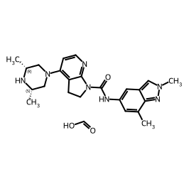 Cc1cc(NC(=O)N2CCc3c(N4C[C@@H](C)N[C@@H](C)C4)ccnc32)cc2cn(C)nc12.O=CO